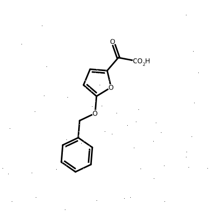 O=C(O)C(=O)c1ccc(OCc2ccccc2)o1